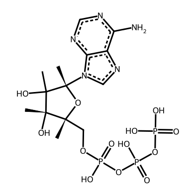 CC1(O)[C@](C)(n2cnc3c(N)ncnc32)O[C@](C)(COP(=O)(O)OP(=O)(O)OP(=O)(O)O)[C@]1(C)O